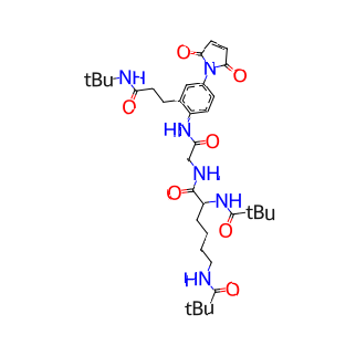 CC(C)(C)NC(=O)CCc1cc(N2C(=O)C=CC2=O)ccc1NC(=O)CNC(=O)C(CCCCNC(=O)C(C)(C)C)NC(=O)C(C)(C)C